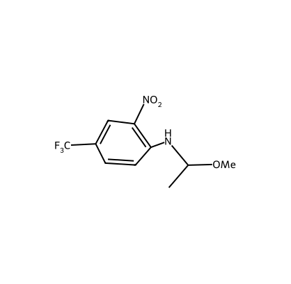 COC(C)Nc1ccc(C(F)(F)F)cc1[N+](=O)[O-]